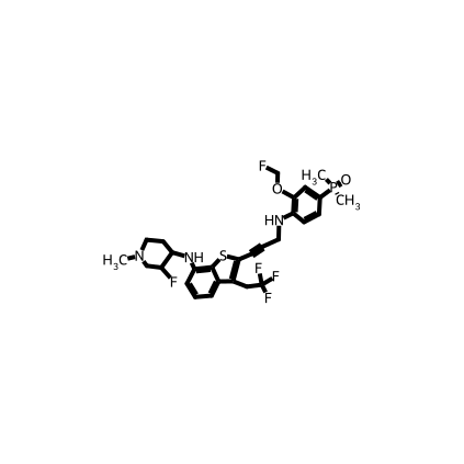 CN1CCC(Nc2cccc3c(CC(F)(F)F)c(C#CCNc4ccc(P(C)(C)=O)cc4OCF)sc23)C(F)C1